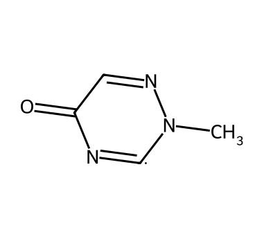 Cn1[c]nc(=O)cn1